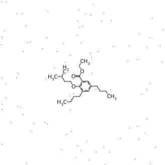 CCCCc1cc(CCCC)c(OCCC(C)C)c(C(=O)OCC)c1